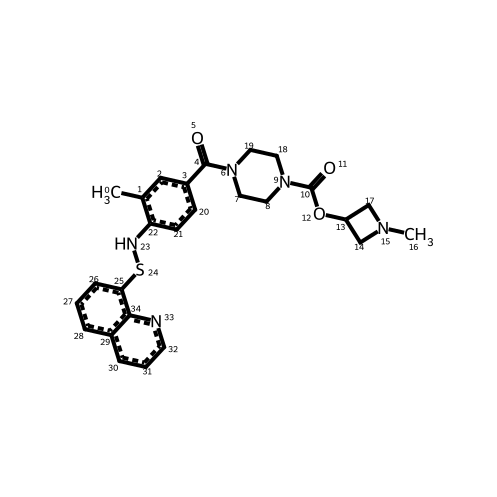 Cc1cc(C(=O)N2CCN(C(=O)OC3CN(C)C3)CC2)ccc1NSc1cccc2cccnc12